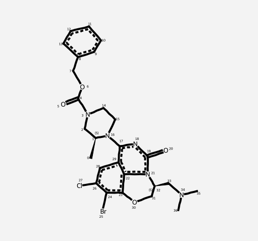 C[C@H]1CN(C(=O)OCc2ccccc2)CCN1c1nc(=O)n2c3c(c(Br)c(Cl)cc13)OC[C@@H]2CN(C)C